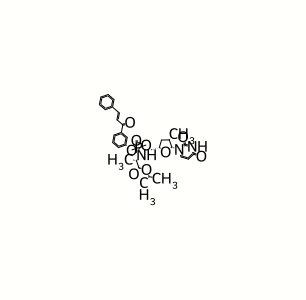 CC(C)OC(=O)[C@H](C)NP(=O)(OC[C@@H]1C[C@H](C)[C@H](n2ccc(=O)[nH]c2=O)O1)Oc1cccc(C(=O)/C=C/c2ccccc2)c1